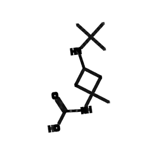 CC(C)(C)NC1CC(C)(NC(=O)O)C1